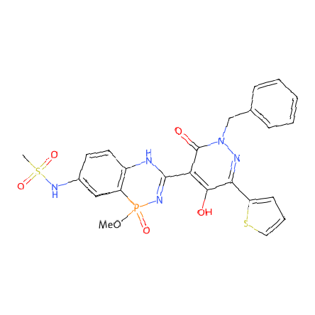 COP1(=O)N=C(c2c(O)c(-c3cccs3)nn(Cc3ccccc3)c2=O)Nc2ccc(NS(C)(=O)=O)cc21